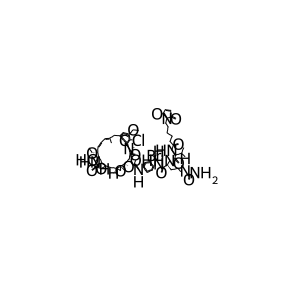 COc1cc2cc(c1Cl)N(C)C(=O)C[C@H](OC(O)Nc1ccc(NC(=O)[C@H](CCCNC(N)=O)NC(=O)[C@@H](NC(=O)CCCCCN3C(=O)C=CC3=O)C(C)C)c(Br)c1)[C@]1(C)O[C@H]1[C@H](C)[C@@H]1C[C@@](O)(NC(=O)O1)[C@H](OC)/C=C/C=C(\C)C2